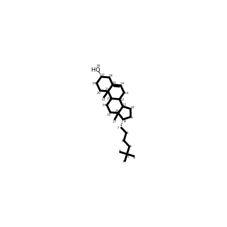 CC(C)(C)CCCC[C@H]1CCC2C3CC=C4C[C@@H](O)CCC4(C)C3CCC21C